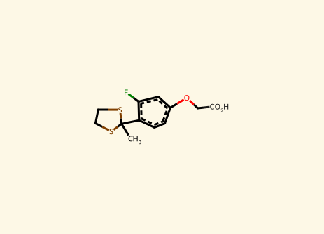 CC1(c2ccc(OCC(=O)O)cc2F)SCCS1